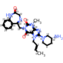 C/C=C/Cn1c(N2CCC[C@@H](N)C2)nc2c1c(=O)n(CC1=NCC(=O)Nc3ccccc31)c(=O)n2C